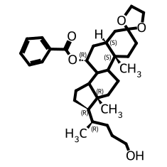 C[C@H](CCCO)[C@H]1CCC2C3C(CC[C@@]21C)[C@@]1(C)CCC2(C[C@@H]1C[C@H]3OC(=O)c1ccccc1)OCCO2